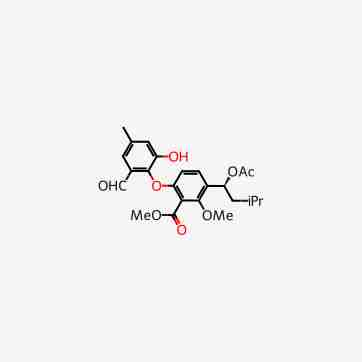 COC(=O)c1c(Oc2c(O)cc(C)cc2C=O)ccc([C@H](CC(C)C)OC(C)=O)c1OC